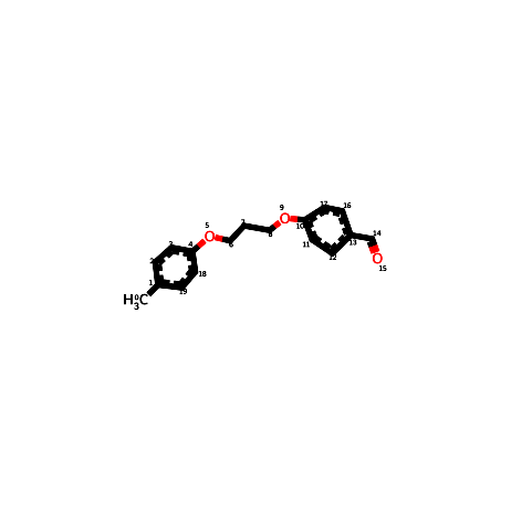 Cc1ccc(OCCCOc2ccc(C=O)cc2)cc1